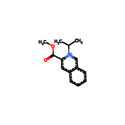 COC(=O)c1cc2ccccc2c[n+]1C(C)C